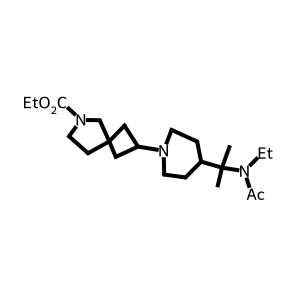 CCOC(=O)N1CCC2(CC(N3CCC(C(C)(C)N(CC)C(C)=O)CC3)C2)C1